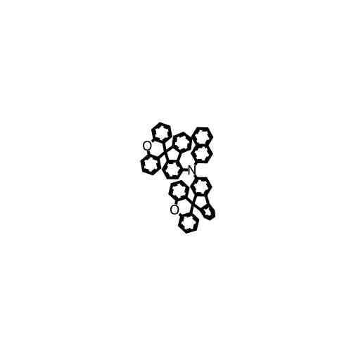 c1ccc2c(c1)Oc1ccccc1C21c2ccccc2-c2ccc(N(c3ccc4ccccc4c3)c3cccc4c3-c3ccccc3C43c4ccccc4Oc4ccccc43)cc21